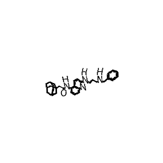 O=C(CC12CC3CC(CC(C3)C1)C2)Nc1cccc2nc(NCCCNCc3ccccc3)ccc12